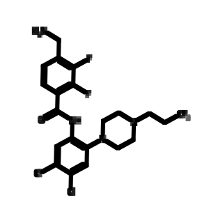 NCc1ccc(C(=O)Nc2cc(Cl)c(Cl)cc2N2CCN(CCC(F)(F)F)CC2)c(F)c1F